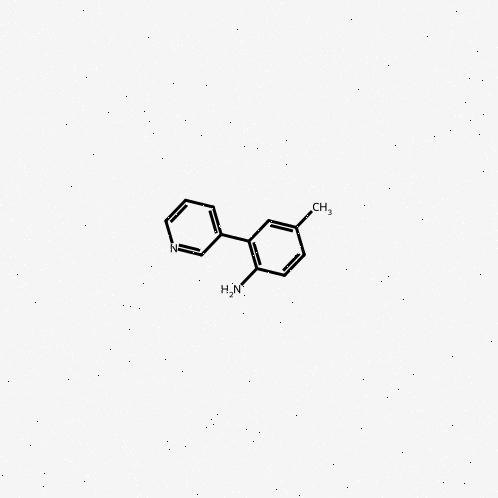 Cc1ccc(N)c(-c2cccnc2)c1